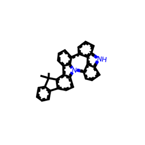 CC1(C)c2ccccc2-c2ccc3c(c21)c1cccc2c4cccc5[nH]c6cccc(c6c54)n3c21